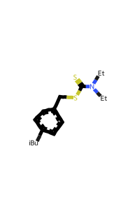 CCC(C)c1ccc(CSC(=S)N(CC)CC)cc1